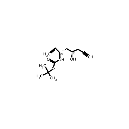 C#CC[C@@H](O)C[C@@H](C=C)NC(=O)OC(C)(C)C